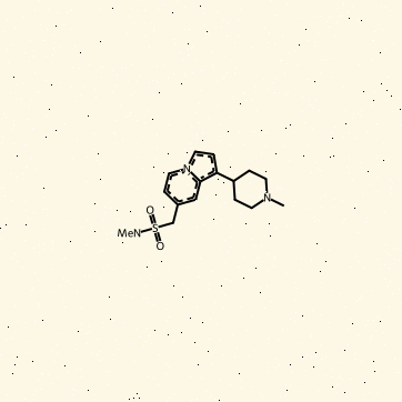 CNS(=O)(=O)Cc1ccn2ccc(C3CCN(C)CC3)c2c1